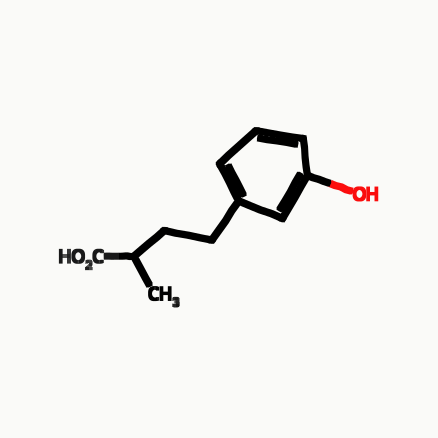 CC(CCc1cccc(O)c1)C(=O)O